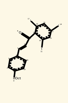 CCCCCCCCc1ccc(C=CC(=O)c2c(I)cc(I)cc2I)cc1